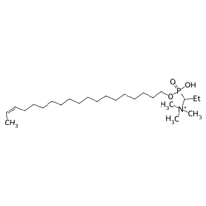 C/C=C\CCCCCCCCCCCCCCCCOP(=O)(O)C(CC)[N+](C)(C)C